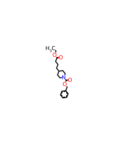 CCOC(=O)CCCC1CCN(C(=O)OCc2ccccc2)CC1